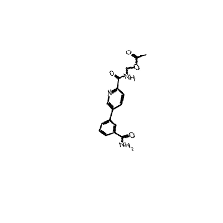 CC(=O)OCNC(=O)c1ccc(-c2cccc(C(N)=O)c2)cn1